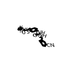 N#Cc1cccc(CCNC(=O)Nc2ccc3cc(C(=O)N[C@H]4CN5CCC4CC5)sc3c2)c1